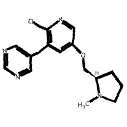 CN1CCC[C@@H]1COc1cnc(Cl)c(-c2cncnc2)c1